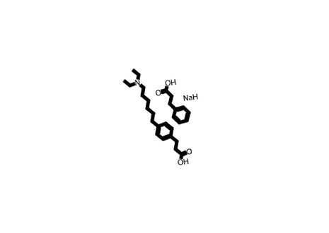 CCN(CC)CCCCCCc1ccc(CCC(=O)O)cc1.O=C(O)CCc1ccccc1.[NaH]